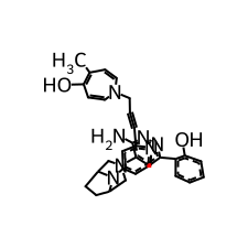 CC1=C(O)C=CN(CC#Cc2cc(N3C4CCC3CN(c3cc(-c5ccccc5O)nnc3N)C4)ccn2)C=C1